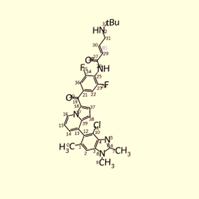 Cc1cc2c(nc(C)n2C)c(Cl)c1-c1cccn2c(C(=O)c3cc(F)c(NC(=O)/C=C/CNC(C)(C)C)c(F)c3)ccc12